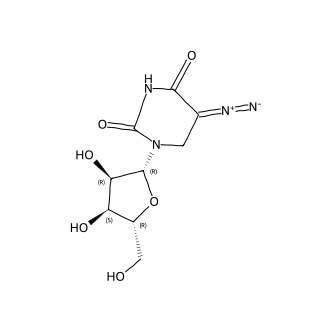 [N-]=[N+]=C1CN([C@@H]2O[C@H](CO)[C@@H](O)[C@H]2O)C(=O)NC1=O